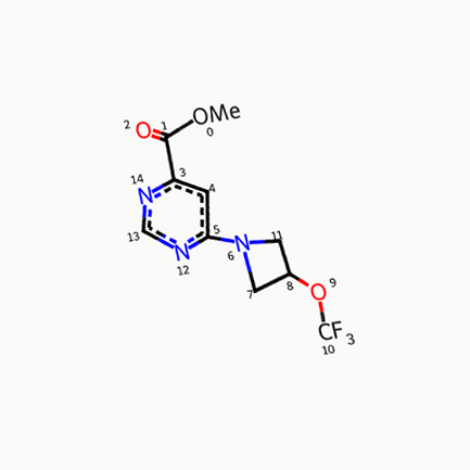 COC(=O)c1cc(N2CC(OC(F)(F)F)C2)ncn1